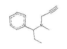 C#CCN(C)C(CC)c1ccccc1